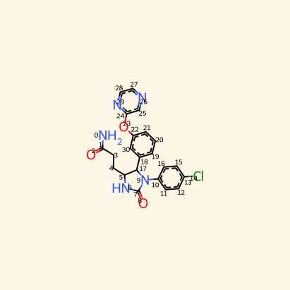 NC(=O)CCC1NC(=O)N(c2ccc(Cl)cc2)C1c1cccc(Oc2cnccn2)c1